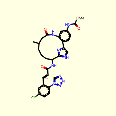 COC(=O)Nc1ccc2c(c1)NC(=O)CC(C)CCCC(NC(=O)/C=C/c1cc(Cl)ccc1-n1cnnn1)c1nc-2c[nH]1